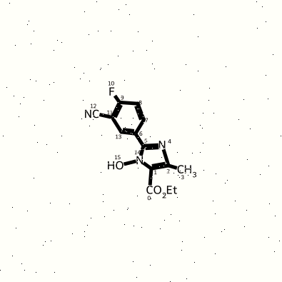 CCOC(=O)c1c(C)nc(-c2ccc(F)c(C#N)c2)n1O